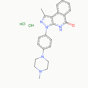 Cc1nn(-c2ccc(N3CCN(C)CC3)cc2)c2[nH]c(=O)c3ccccc3c12.Cl.Cl